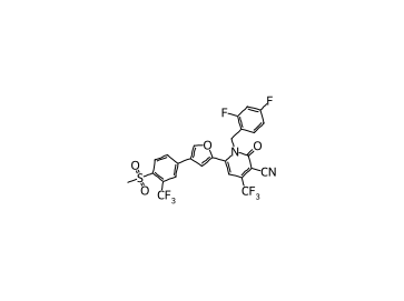 CS(=O)(=O)c1ccc(-c2coc(-c3cc(C(F)(F)F)c(C#N)c(=O)n3Cc3ccc(F)cc3F)c2)cc1C(F)(F)F